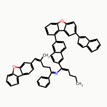 CCC/C=C(\N=C(/CC/C(C)=C\c1ccc2c(c1)oc1ccccc12)c1ccccc1)c1ccc2cc(-c3cccc4oc5ccc(-c6ccc7ccccc7c6)cc5c34)ccc2c1